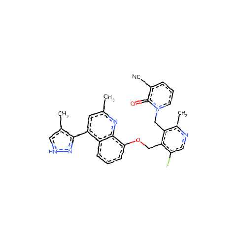 Cc1cc(-c2n[nH]cc2C)c2cccc(OCc3c(F)cnc(C)c3Cn3cccc(C#N)c3=O)c2n1